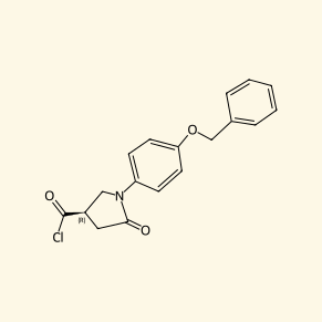 O=C(Cl)[C@@H]1CC(=O)N(c2ccc(OCc3ccccc3)cc2)C1